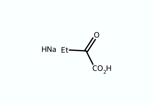 CCC(=O)C(=O)O.[NaH]